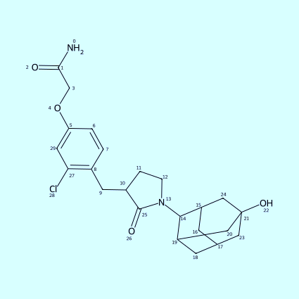 NC(=O)COc1ccc(CC2CCN(C3C4CC5CC3CC(O)(C5)C4)C2=O)c(Cl)c1